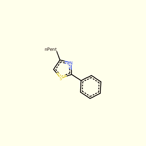 CCCCCc1csc(-c2ccccc2)n1